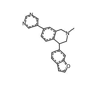 CN1Cc2cc(-c3cncnc3)ccc2C(c2ccc3ccoc3c2)C1